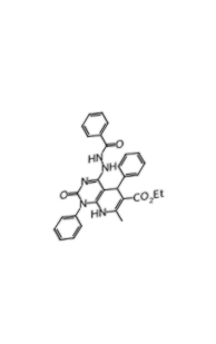 CCOC(=O)C1=C(C)Nc2c(c(NNC(=O)c3ccccc3)nc(=O)n2-c2ccccc2)C1c1ccccc1